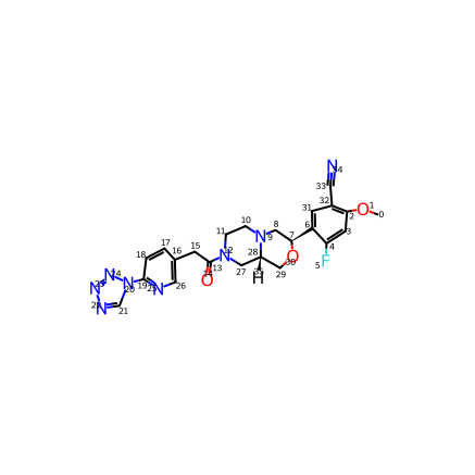 COc1cc(F)c([C@@H]2CN3CCN(C(=O)Cc4ccc(-n5cnnn5)nc4)C[C@H]3CO2)cc1C#N